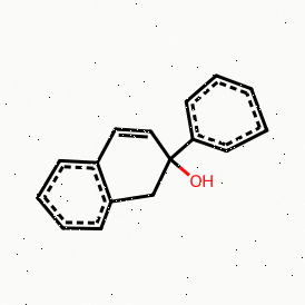 OC1(c2ccccc2)C=Cc2ccccc2C1